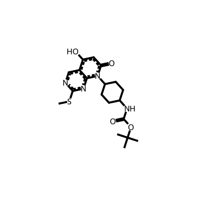 CSc1ncc2c(O)cc(=O)n(C3CCC(NC(=O)OC(C)(C)C)CC3)c2n1